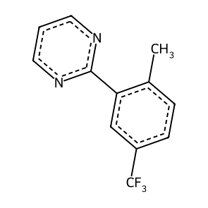 Cc1ccc(C(F)(F)F)cc1-c1ncccn1